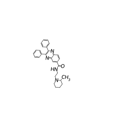 CC1CCCCN1CCNC(=O)c1ccc2nc(-c3ccccc3)c(-c3ccccc3)nc2c1